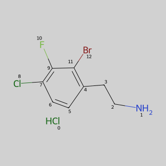 Cl.NCCc1ccc(Cl)c(F)c1Br